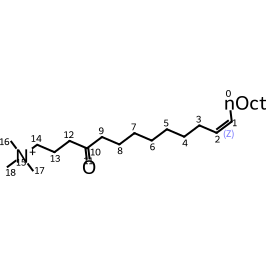 CCCCCCCC/C=C\CCCCCCCC(=O)CCC[N+](C)(C)C